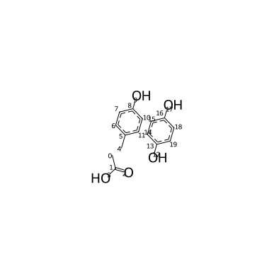 CC(=O)O.Cc1ccc(O)cc1.Oc1ccc(O)cc1